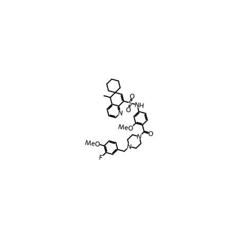 COc1ccc(CN2CCN(C(=O)c3ccc(NS(=O)(=O)C4=CC5(CCCCC5)C(C)c5cccnc54)cc3OC)CC2)cc1F